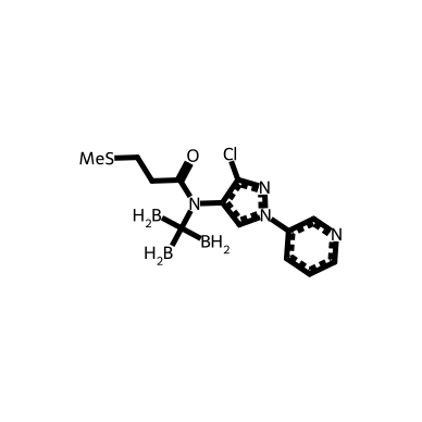 BC(B)(B)N(C(=O)CCSC)c1cn(-c2cccnc2)nc1Cl